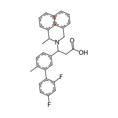 Cc1ccc(C(CC(=O)O)N(Cc2ccccc2)C(C)c2ccccc2)cc1-c1ccc(F)cc1F